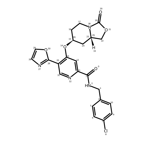 O=C(NCc1ccc(Cl)cc1)c1cc(O[C@H]2CCN3C(=O)OC[C@@H]3C2)c(-c2ncco2)cn1